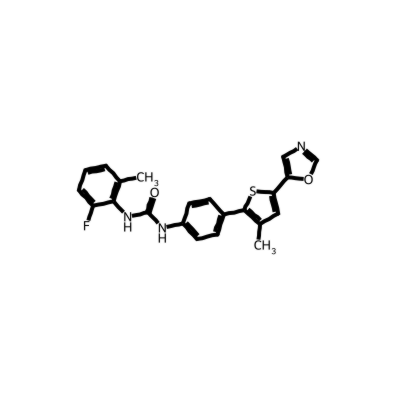 Cc1cc(-c2cnco2)sc1-c1ccc(NC(=O)Nc2c(C)cccc2F)cc1